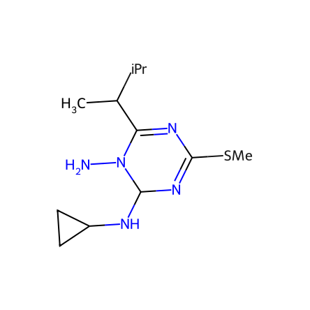 CSC1=NC(NC2CC2)N(N)C(C(C)C(C)C)=N1